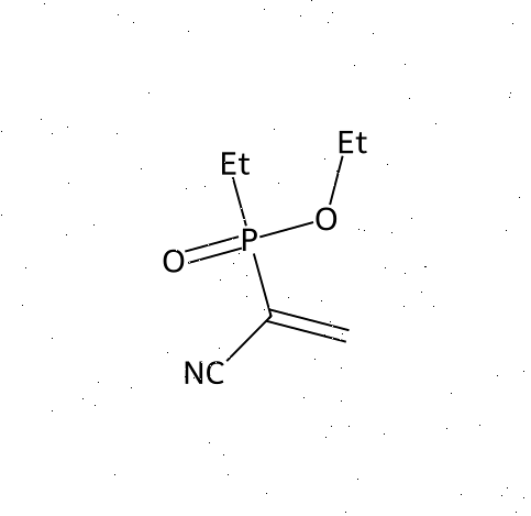 C=C(C#N)P(=O)(CC)OCC